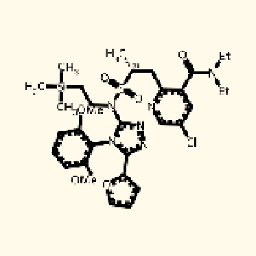 CCN(CC)C(=O)c1cc(Cl)cnc1C[C@@H](C)S(=O)(=O)N(CC[Si](C)(C)C)c1nnc(-c2ccco2)n1-c1c(OC)cccc1OC